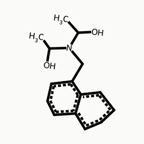 CC(O)N(Cc1cccc2ccccc12)C(C)O